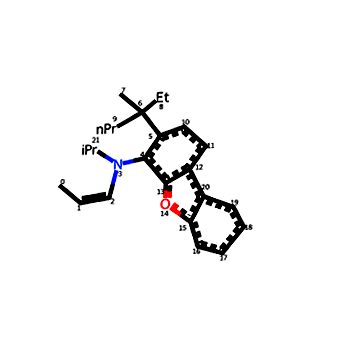 C/C=C\N(c1c(C(C)(CC)CCC)ccc2c1oc1ccccc12)C(C)C